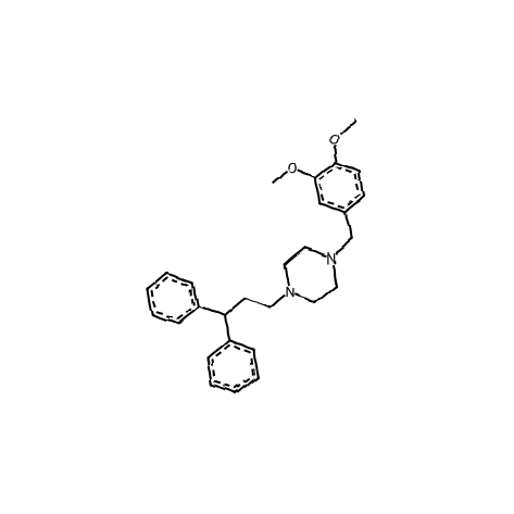 COc1ccc(CN2CCN(CCC(c3ccccc3)c3ccccc3)CC2)cc1OC